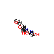 COc1cccc(O[C@H]2C[C@@H]3CN(CC(O)c4ccc(O)cn4)C[C@@H]3C2)c1